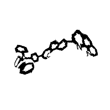 O=P(c1ccccc1)(c1ccccc1)c1ccc(-c2ccc3c(ccc4cc(-c5ccc6ccc7cccnc7c6n5)ccc43)c2)cc1